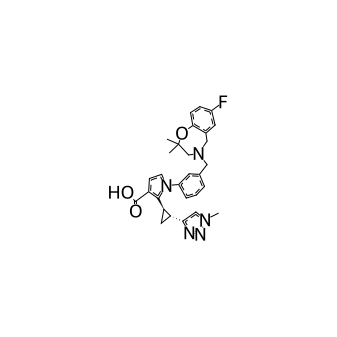 Cn1cc([C@@H]2C[C@H]2c2c(C(=O)O)ccn2-c2cccc(CN3Cc4cc(F)ccc4OC(C)(C)C3)c2)nn1